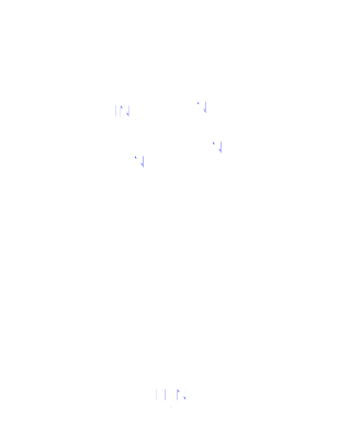 CC1=NN=C(c2ccc(CN)cc2)NN1